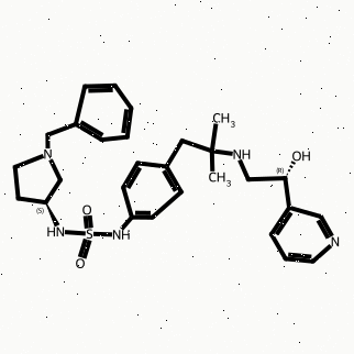 CC(C)(Cc1ccc(NS(=O)(=O)N[C@H]2CCN(Cc3ccccc3)C2)cc1)NC[C@H](O)c1cccnc1